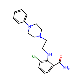 NC(=O)c1cccc(Cl)c1NCCN1CCN(c2ccccc2)CC1